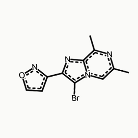 Cc1cn2c(Br)c(-c3ccon3)nc2c(C)n1